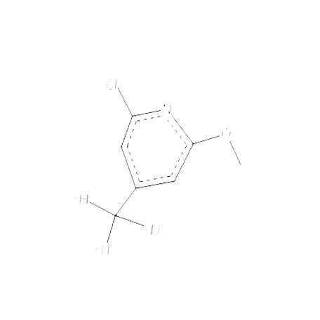 [2H]C([2H])([2H])c1cc(Cl)nc(OC)c1